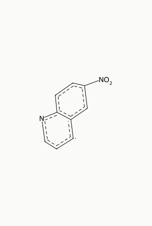 O=[N+]([O-])c1ccc2ncc[c]c2c1